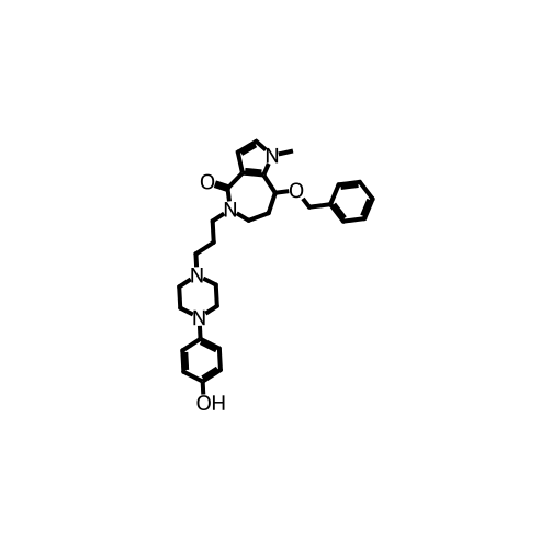 Cn1ccc2c1C(OCc1ccccc1)CCN(CCCN1CCN(c3ccc(O)cc3)CC1)C2=O